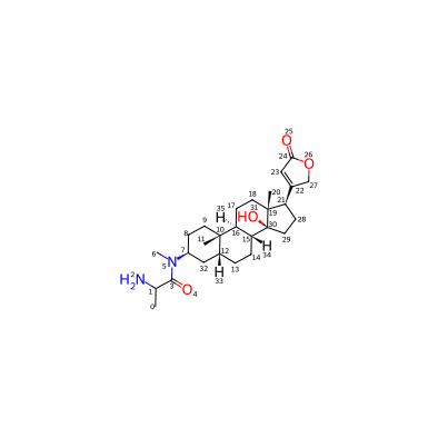 CC(N)C(=O)N(C)[C@H]1CC[C@@]2(C)[C@H](CC[C@@H]3[C@@H]2CC[C@]2(C)[C@@H](C4=CC(=O)OC4)CC[C@]32O)C1